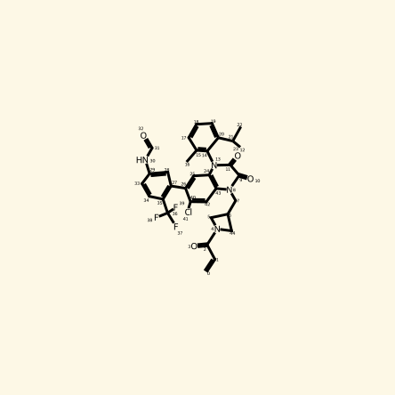 C=CC(=O)N1CC(Cn2c(=O)c(=O)n(-c3c(C)cccc3C(C)C)c3cc(-c4cc(NC=O)ccc4C(F)(F)F)c(Cl)cc32)C1